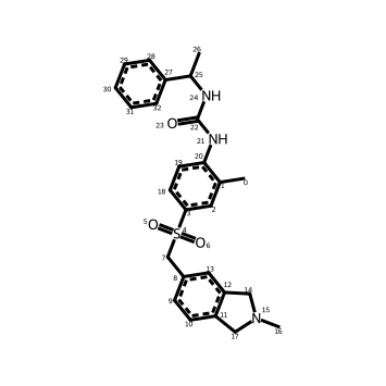 Cc1cc(S(=O)(=O)Cc2ccc3c(c2)CN(C)C3)ccc1NC(=O)NC(C)c1ccccc1